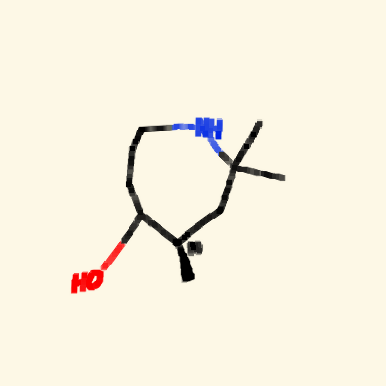 C[C@@H]1CC(C)(C)NCCC1O